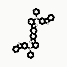 c1ccc(N(c2ccc3oc4ccccc4c3c2)c2cccc3c2oc2cc4cc5c(cc4cc23)oc2c(N(c3ccccc3)c3ccc4oc6ccccc6c4c3)cccc25)cc1